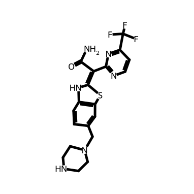 NC(=O)/C(=C1\Nc2ccc(CN3CCNCC3)cc2S1)c1nccc(C(F)(F)F)n1